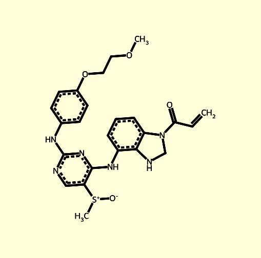 C=CC(=O)N1CNc2c(Nc3nc(Nc4ccc(OCCOC)cc4)ncc3[S+](C)[O-])cccc21